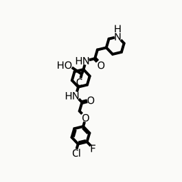 O=C(COc1ccc(Cl)c(F)c1)NC12CCC(NC(=O)CC3CCCNC3)(CC1)C(O)C2